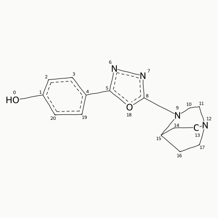 Oc1ccc(-c2nnc(N3CCN4CCC3CC4)o2)cc1